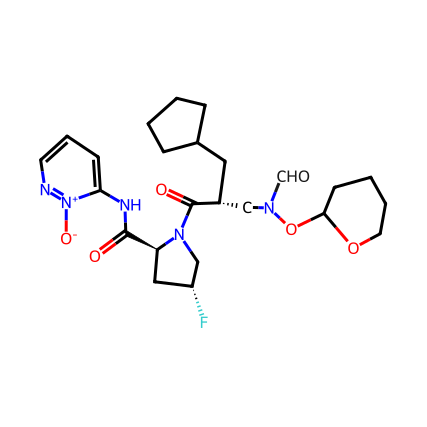 O=CN(C[C@@H](CC1CCCC1)C(=O)N1C[C@H](F)C[C@H]1C(=O)Nc1cccn[n+]1[O-])OC1CCCCO1